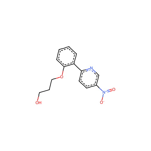 O=[N+]([O-])c1ccc(-c2ccccc2OCCCO)nc1